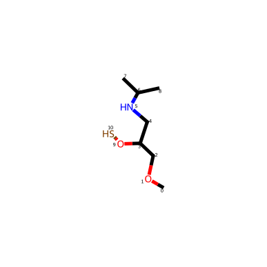 COCC(CNC(C)C)OS